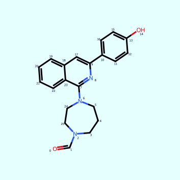 O=CN1CCCN(c2nc(-c3ccc(O)cc3)cc3ccccc23)CC1